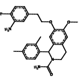 COc1cc2c(cc1OCCc1ccc(F)c(N)c1)C(c1ccc(C)cc1C)N(C(N)=O)CC2